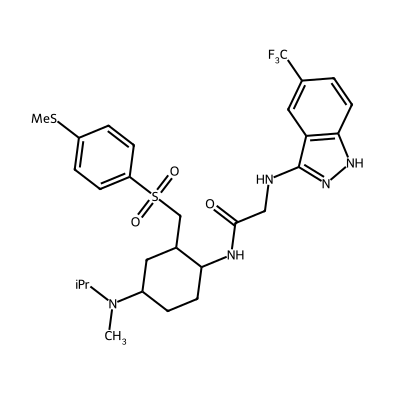 CSc1ccc(S(=O)(=O)CC2CC(N(C)C(C)C)CCC2NC(=O)CNc2n[nH]c3ccc(C(F)(F)F)cc23)cc1